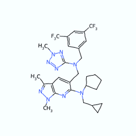 Cc1nn(C)c2nc(N(CC3CC3)C3CCCC3)c(CN(Cc3cc(C(F)(F)F)cc(C(F)(F)F)c3)c3nnn(C)n3)cc12